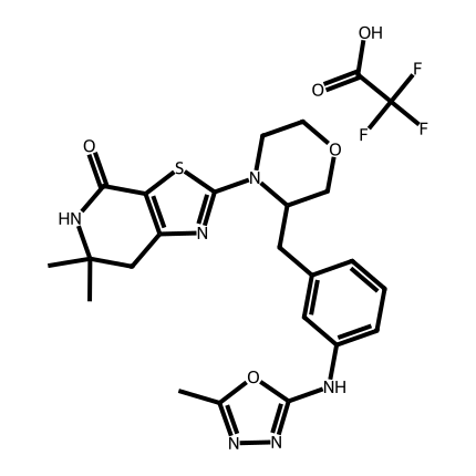 Cc1nnc(Nc2cccc(CC3COCCN3c3nc4c(s3)C(=O)NC(C)(C)C4)c2)o1.O=C(O)C(F)(F)F